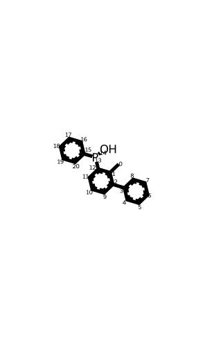 Cc1c(-c2ccccc2)cccc1P(O)c1ccccc1